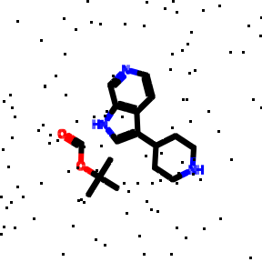 CC(C)(C)OC=O.c1cc2c(C3CCNCC3)c[nH]c2cn1